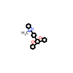 Cn1c(-c2ccc(-c3c4oc5ccccc5c4cc4c3oc3ccccc34)cc2)nc2ccccc21